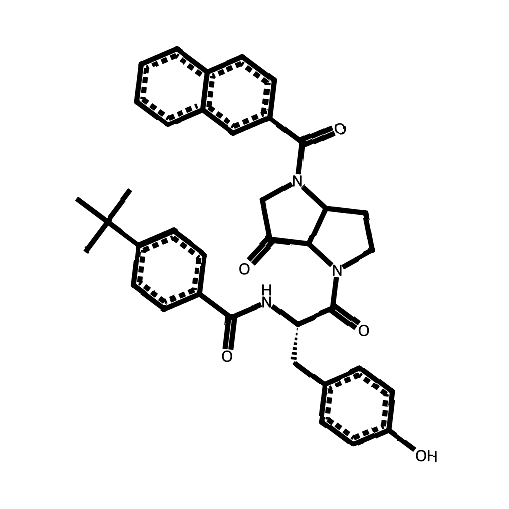 CC(C)(C)c1ccc(C(=O)N[C@@H](Cc2ccc(O)cc2)C(=O)N2CCC3C2C(=O)CN3C(=O)c2ccc3ccccc3c2)cc1